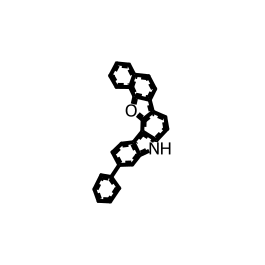 c1ccc(-c2ccc3c(c2)[nH]c2ccc4c5ccc6ccccc6c5oc4c23)cc1